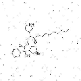 Br.CCCCCCCCOC(=O)C(COC(=O)C(O)(c1ccccc1)C1CCCC1)C1CCNC1